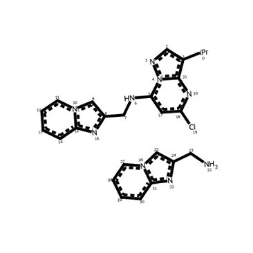 CC(C)c1cnn2c(NCc3cn4ccccc4n3)cc(Cl)nc12.NCc1cn2ccccc2n1